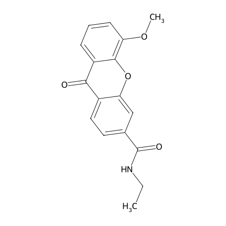 CCNC(=O)c1ccc2c(=O)c3cccc(OC)c3oc2c1